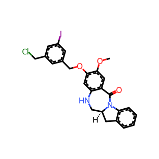 COc1cc2c(cc1OCc1cc(I)cc(CCl)c1)NC[C@@H]1Cc3ccccc3N1C2=O